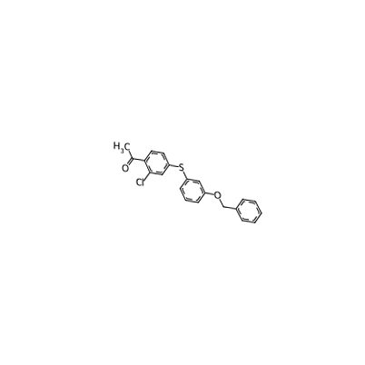 CC(=O)c1ccc(Sc2cccc(OCc3ccccc3)c2)cc1Cl